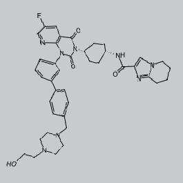 O=C(N[C@H]1CC[C@@H](n2c(=O)c3cc(F)cnc3n(-c3cccc(-c4ccc(CN5CCN(CCO)CC5)cc4)c3)c2=O)CC1)c1cn2c(n1)CCCC2